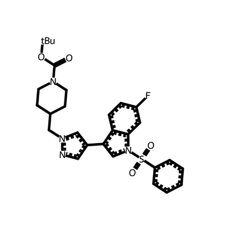 CC(C)(C)OC(=O)N1CCC(Cn2cc(-c3cn(S(=O)(=O)c4ccccc4)c4cc(F)ccc34)cn2)CC1